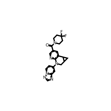 O=C(c1cnc2c(c1)C1CC1CN2c1ccn2ncnc2c1)N1CCC(F)(F)CC1